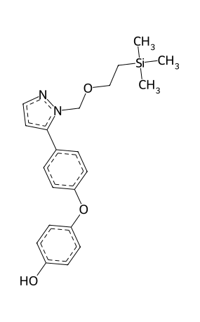 C[Si](C)(C)CCOCn1nccc1-c1ccc(Oc2ccc(O)cc2)cc1